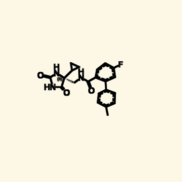 Cc1ccc(-c2cc(F)ccc2C(=O)NC[C@@]2(C3CC3)NC(=O)NC2=O)cc1